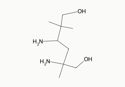 CC(N)(CO)CC(N)C(C)(C)CO